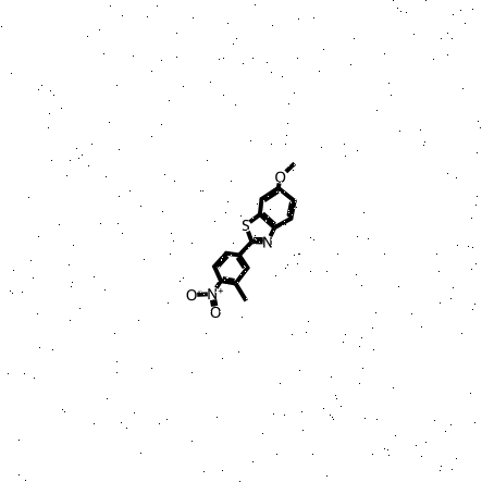 COc1ccc2nc(-c3ccc([N+](=O)[O-])c(C)c3)sc2c1